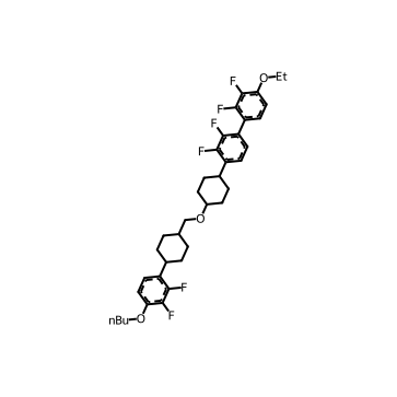 CCCCOc1ccc(C2CCC(COC3CCC(c4ccc(-c5ccc(OCC)c(F)c5F)c(F)c4F)CC3)CC2)c(F)c1F